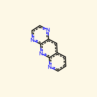 c1cnc2nc3nccnc3cc2c1